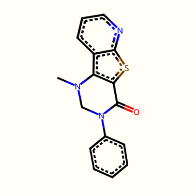 CN1CN(c2ccccc2)C(=O)c2sc3ncccc3c21